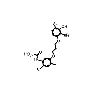 CCCc1c(OCCCOc2cc(NC(=O)C(=O)O)c(Cl)cc2C)ccc(C(C)=O)c1O